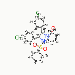 Cc1ccccc1S(=O)(=O)N1c2cccc(=O)n2C(c2ccc(Cl)cc2)C1c1ccc(Cl)cc1